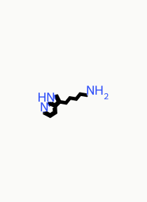 NCCCCCc1c[nH]c2ncccc12